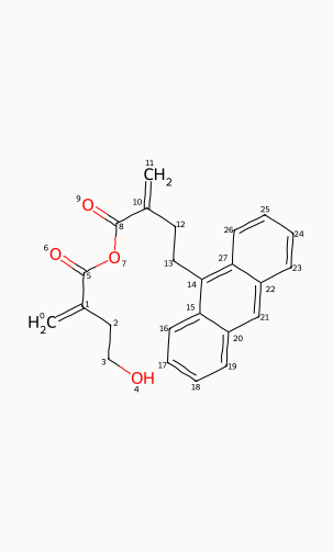 C=C(CCO)C(=O)OC(=O)C(=C)CCc1c2ccccc2cc2ccccc12